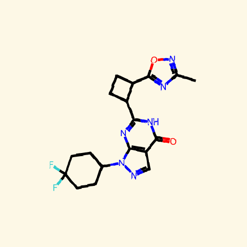 Cc1noc(C2CCC2c2nc3c(cnn3C3CCC(F)(F)CC3)c(=O)[nH]2)n1